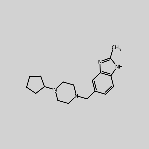 Cc1nc2cc(CN3CCN(C4CCCC4)CC3)ccc2[nH]1